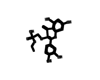 C=C1C(OCP(=O)(O)OCC)=C(c2ccc(O)c(O)c2)Oc2cc(O)cc(O)c21